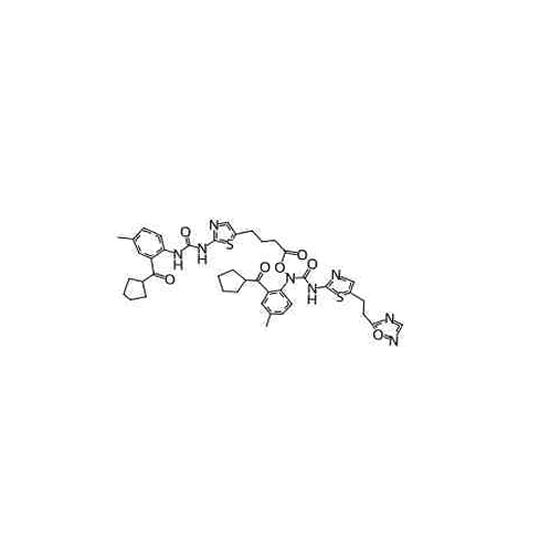 Cc1ccc(NC(=O)Nc2ncc(CCCC(=O)ON(C(=O)Nc3ncc(CCc4ncno4)s3)c3ccc(C)cc3C(=O)C3CCCC3)s2)c(C(=O)C2CCCC2)c1